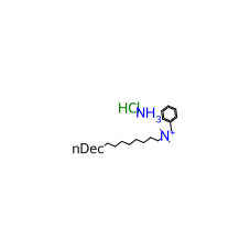 CCCCCCCCCCCCCCCCCC[N+](C)(C)Cc1ccccc1.Cl.N